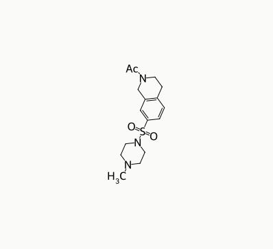 CC(=O)N1CCc2ccc(S(=O)(=O)N3CCN(C)CC3)cc2C1